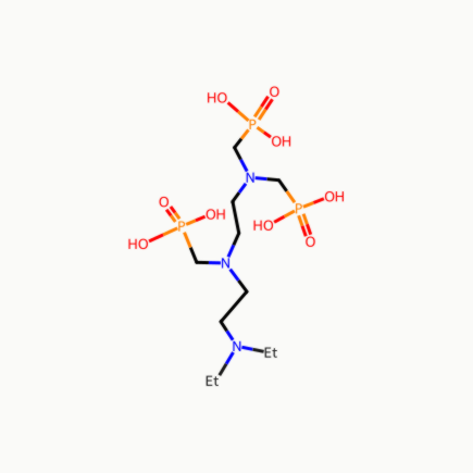 CCN(CC)CCN(CCN(CP(=O)(O)O)CP(=O)(O)O)CP(=O)(O)O